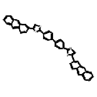 c1ccc2cc3cc(-c4cnc(-c5ccc(-c6ccc(-c7ncc(-c8ccc9cc%10ccccc%10cc9c8)s7)cc6)cc5)s4)ccc3cc2c1